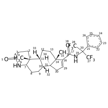 C[C@]12CCC(=O)NC1CC[C@@H]1[C@H]2CC[C@]2(C)C(C(=O)NC(c3ccccc3)(C(F)(F)F)C(F)(F)F)=CC[C@@H]12